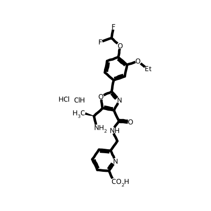 CCOc1cc(-c2nc(C(=O)NCc3cccc(C(=O)O)n3)c([C@H](C)N)o2)ccc1OC(F)F.Cl.Cl